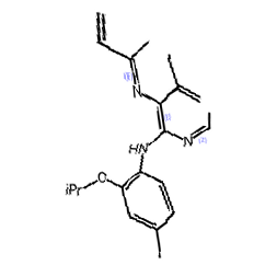 C=C/C(C)=N/C(C(=C)C)=C(/N=C\C)Nc1ccc(C)cc1OC(C)C